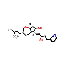 CCCC(CC[C@@H]1CC[C@@H]2[C@@H](/C=C/C(O)CCc3cccnc3)[C@H](O)C[C@@H]2OC1)C(=O)O